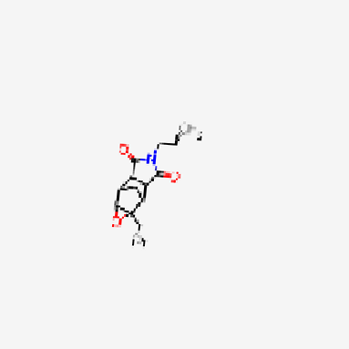 C=CCN1C(=O)C2C3CC(C2C1=O)C1(CC(C)C)OC31